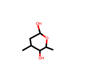 CC1CC(O)OC(C)C1O